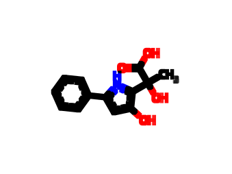 CC(O)(C(=O)O)c1[nH]c(-c2ccccc2)cc1O